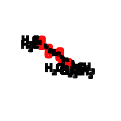 C=C(C)C(=O)OCCOC(=O)CCC(=O)OCC(COCCC[Si](C)(C)C)OC(=O)C(=C)C